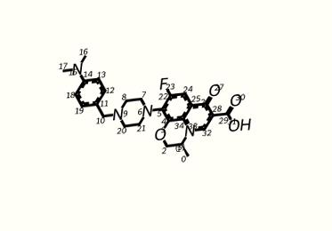 C[C@H]1COc2c(N3CCN(Cc4ccc(N(C)C)cc4)CC3)c(F)cc3c(=O)c(C(=O)O)cn1c23